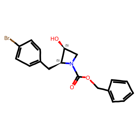 O=C(OCc1ccccc1)N1C[C@H](O)[C@@H]1Cc1ccc(Br)cc1